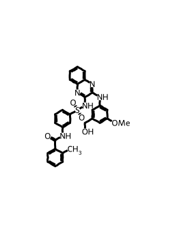 COc1cc(CO)cc(Nc2nc3ccccc3nc2NS(=O)(=O)c2cccc(NC(=O)c3ccccc3C)c2)c1